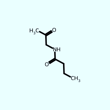 CCCC(=O)NCC(C)=O